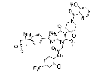 C[C@H]1OC2(CCN(C(=O)c3ncccc3O)CC2)c2c1n(CC(=O)Nc1ccc(C(F)(F)F)cc1Cl)c1nc(-c3ccc(C4(N)CS(=O)(=O)C4)cc3)nn1c2=O